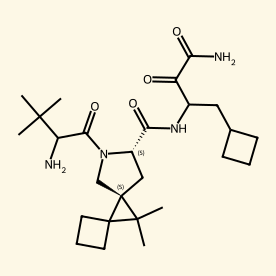 CC(C)(C)C(N)C(=O)N1C[C@@]2(C[C@H]1C(=O)NC(CC1CCC1)C(=O)C(N)=O)C(C)(C)C21CCC1